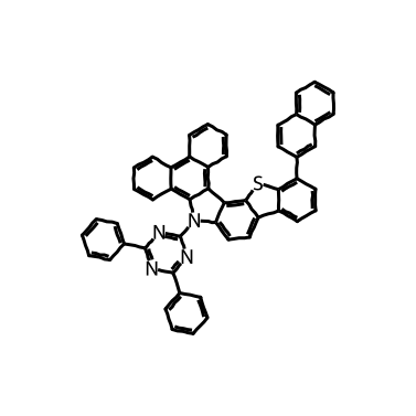 c1ccc(-c2nc(-c3ccccc3)nc(-n3c4ccc5c6cccc(-c7ccc8ccccc8c7)c6sc5c4c4c5ccccc5c5ccccc5c43)n2)cc1